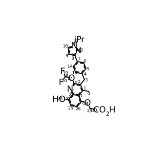 Cc1c(Cc2ccc(-c3ccn(C(C)C)n3)cc2)c(OC(F)F)nc2c(O)ccc(OCC(=O)O)c12